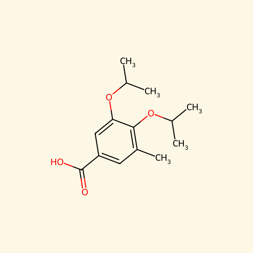 Cc1cc(C(=O)O)cc(OC(C)C)c1OC(C)C